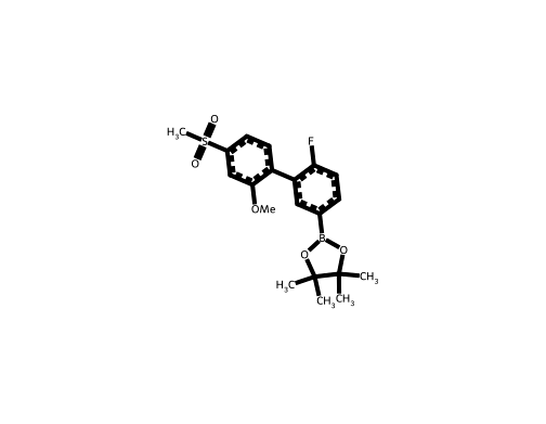 COc1cc(S(C)(=O)=O)ccc1-c1cc(B2OC(C)(C)C(C)(C)O2)ccc1F